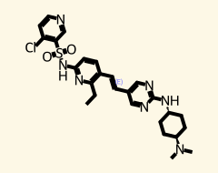 CCc1nc(NS(=O)(=O)c2cnccc2Cl)ccc1/C=C/c1cnc(N[C@H]2CC[C@H](N(C)C)CC2)nc1